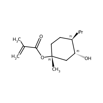 C=C(C)C(=O)O[C@]1(C)CC[C@@H](C(C)C)[C@H](O)C1